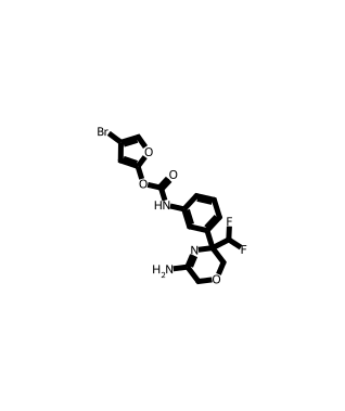 NC1=NC(c2cccc(NC(=O)Oc3cc(Br)co3)c2)(C(F)F)COC1